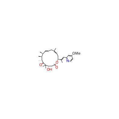 COc1ccnc(/C=C(\C)[C@@H]2C/C=C(/C)C/C=C/[C@H](C)[C@H](C)[C@@H](C)C(=O)C(C)(C)[C@@H](O)CC(=O)O2)c1